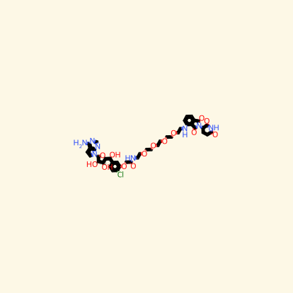 Nc1ncnc2c1ccn2[C@@H]1O[C@H]([C@H](O)c2ccc(Cl)c(OCC(=O)NCCOCCOCCOCCOCCNc3cccc4c3C(=O)N(C3CCC(=O)NC3=O)C4=O)c2)[C@@H](O)[C@H]1O